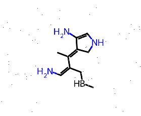 CBCC(=C/N)/C(C)=C1\CNC=C1N